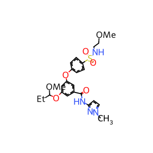 CCC(OC)Oc1cc(Oc2ccc(S(=O)(=O)NCCOC)cc2)cc(C(=O)Nc2ccn(C)n2)c1